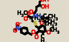 COC(=O)[C@H](CSCc1c(O[Si](C)(C)C(C)(C)C)cc(OC)c(C)c1C(=O)OCc1ccc([N+](=O)[O-])cc1)NC(=O)CC[C@@H](O)CO